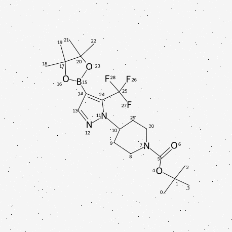 CC(C)(C)OC(=O)N1CCC(n2ncc(B3OC(C)(C)C(C)(C)O3)c2C(F)(F)F)CC1